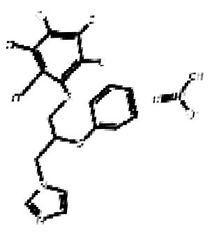 Clc1c(Cl)c(Cl)c(SCC(Cn2ccnc2)Sc2ccccc2)c(Cl)c1Cl.O=[N+]([O-])O